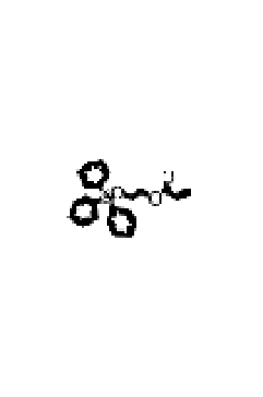 C=CC(=O)OCCO[Si](c1ccccc1)(c1ccccc1)c1ccccc1